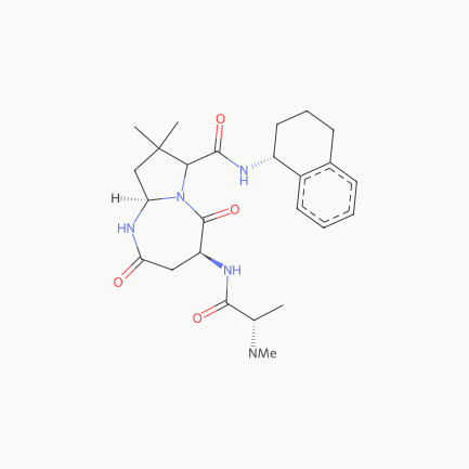 CN[C@@H](C)C(=O)N[C@H]1CC(=O)N[C@H]2CC(C)(C)C(C(=O)N[C@@H]3CCCc4ccccc43)N2C1=O